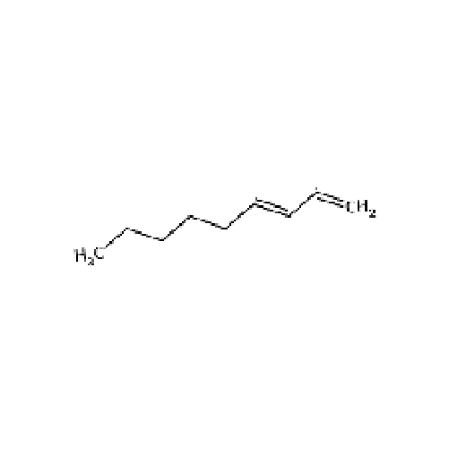 C=[C]/C=C/CCCCC